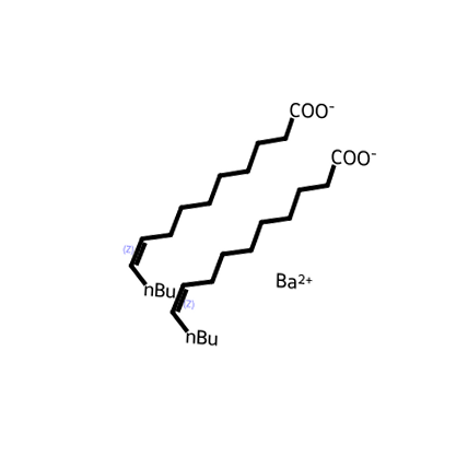 CCCC/C=C\CCCCCCCC(=O)[O-].CCCC/C=C\CCCCCCCC(=O)[O-].[Ba+2]